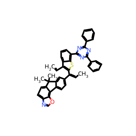 C=Cc1c(/C(=C\C)c2ccc3c(c2)C(C)(C)c2ccc4ncoc4c2-3)sc2c(-c3nc(-c4ccccc4)nc(-c4ccccc4)n3)cccc12